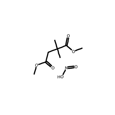 COC(=O)CC(C)(C)C(=O)OC.O=NO